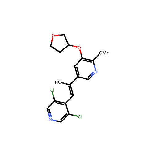 COc1ncc(/C(C#N)=C/c2c(Cl)cncc2Cl)cc1OC1CCOC1